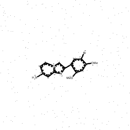 COc1cc(OC)c(-c2cn3ccc(N)cc3n2)cc1Br